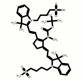 CN(C(=O)OC(C)(C)C)C1=C(/C=C/C2=[N+](CCCCS(=O)(=O)O)c3ccccc3C2(C)C)CC/C1=C\C=C1\N(CCCCS(C)(=O)=O)c2ccccc2C1(C)C